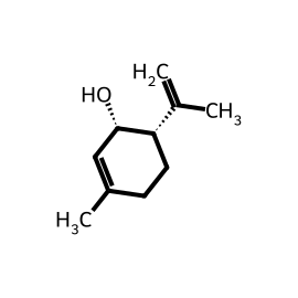 C=C(C)[C@@H]1CCC(C)=C[C@@H]1O